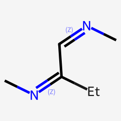 CCC(/C=N\C)=N/C